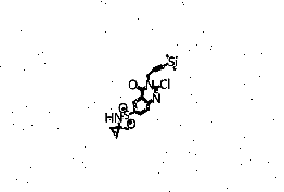 CC1(NS(=O)(=O)c2ccc3nc(Cl)n(CC#C[Si](C)(C)C)c(=O)c3c2)CC1